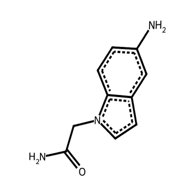 NC(=O)Cn1ccc2cc(N)ccc21